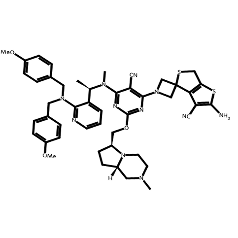 COc1ccc(CN(Cc2ccc(OC)cc2)c2ncccc2[C@@H](C)N(C)c2nc(OC[C@@H]3CC[C@H]4CN(C)CCN34)nc(N3CC4(C3)SCc3sc(N)c(C#N)c34)c2C#N)cc1